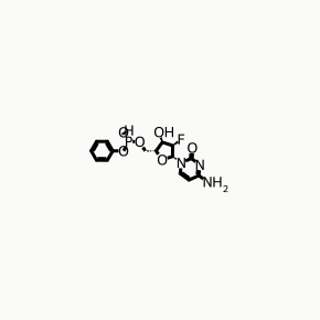 Nc1ccn([C@@H]2O[C@H](CO[PH](=O)Oc3ccccc3)[C@@H](O)[C@H]2F)c(=O)n1